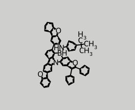 CC(C)(C)c1ccc(Nc2cc3oc4ccccc4c3cc2-c2ccc3c4cc5oc6ccccc6c5cc4n4c3c2Bc2cc3oc(-c5ccccc5)c(-c5ccccc5)c3cc2-4)cc1